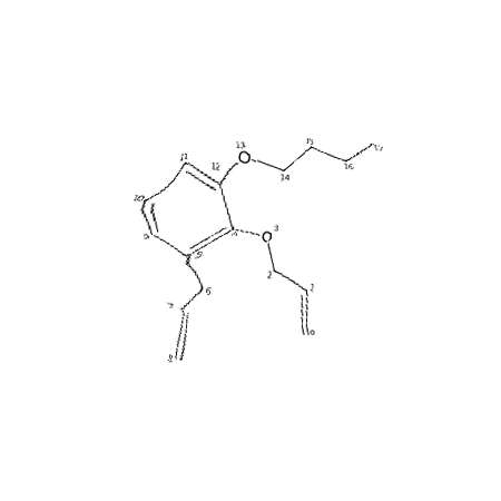 C=CCOc1c(CC=C)cccc1OCCCC